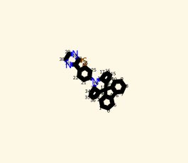 c1ccc2c(c1)-c1ccccc1C21c2ccccc2N(c2ccc3c(c2)sc2nccnc23)c2ccccc21